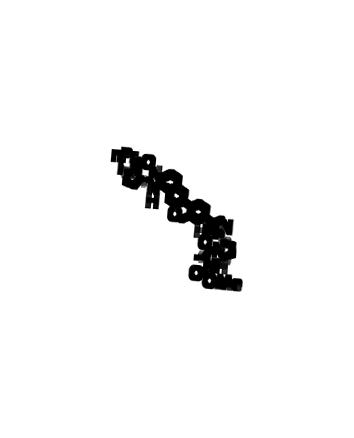 CCCC(=O)N1[C@@H](I)CC[C@H]1c1nc2ccc3cc4c(cc3c2[nH]1)OCc1cc(-c2cnc([C@@H]3CC[C@H](C)N3C(=O)[C@H](C)NC(=O)OC)[nH]2)ccc1-4